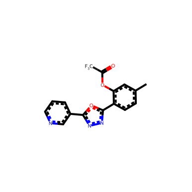 Cc1ccc(-c2nnc(-c3cccnc3)o2)c(OC(=O)C(F)(F)F)c1